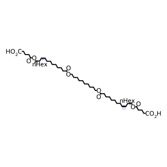 CCCCCC[C@H](C/C=C\CCCCCCCC(=O)OCCCCCCCCCCOC(=O)CCCCCCC/C=C\C[C@@H](CCCCCC)OC(=O)CCCC(=O)O)OC(=O)CCCC(=O)O